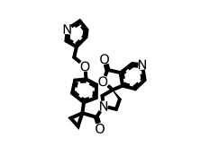 O=C1O[C@]2(CCN(C(=O)C3(c4ccc(OCc5cccnc5)cc4)CC3)C2)c2ccncc21